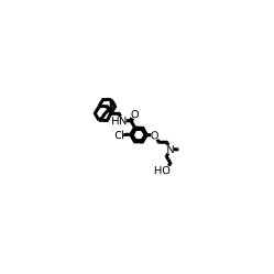 CN(CCO)CCOc1ccc(Cl)c(C(=O)NCC23CC4CC(CC(C4)C2)C3)c1